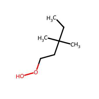 CCC(C)(C)CCOO